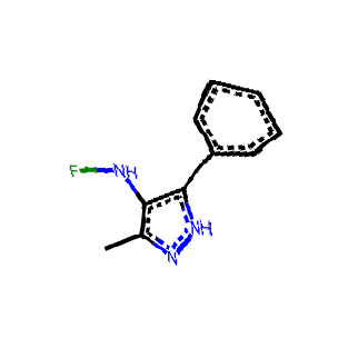 Cc1n[nH]c(-c2ccccc2)c1NF